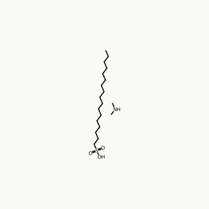 CCCCCCCCCCCCCCCCCS(=O)(=O)O.CNC